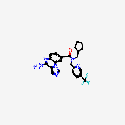 Nc1nc2ccc(C(=O)N(Cc3ccc(C(F)(F)F)cn3)CC3CCCC3)cc2n2cncc12